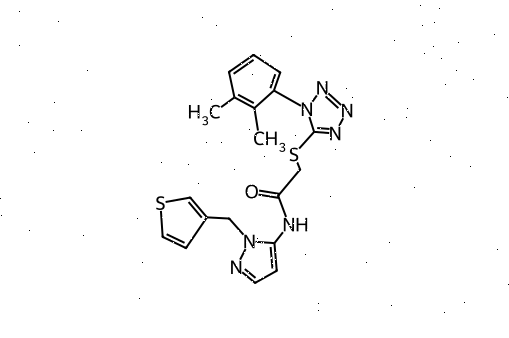 Cc1cccc(-n2nnnc2SCC(=O)Nc2ccnn2Cc2ccsc2)c1C